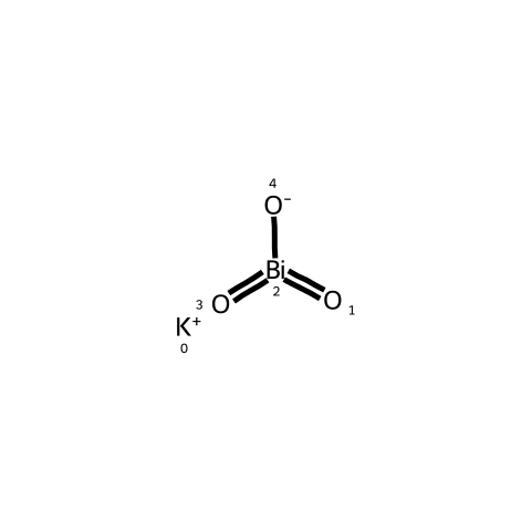 [K+].[O]=[Bi](=[O])[O-]